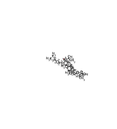 C=C(C)[C@@H]1CC[C@]2(CC(=O)N3CC[C@H](N(CC)CC)C3)CC[C@]3(C)[C@H](CC[C@@H]4[C@@]5(C)CC[C@H](OC(=O)CC(C)(C)CC(=O)O)C(C)(C)[C@@H]5CC[C@]43C)[C@@H]12